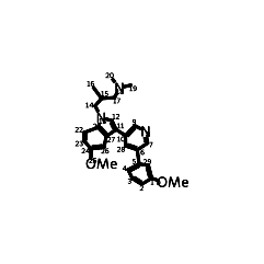 COc1cccc(-c2cncc(-c3cn(CC(C)CN(C)C)c4ccc(OC)cc34)c2)c1